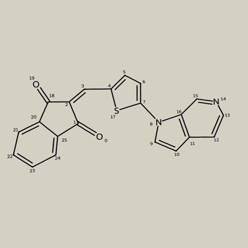 O=C1C(=Cc2ccc(-n3ccc4ccncc43)s2)C(=O)c2ccccc21